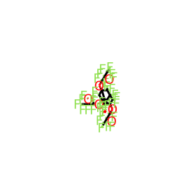 FOC(F)(C(F)(F)F)C(F)(F)OC12C(F)(F)C3(F)C(F)(F)C(OC(F)(F)C(F)(OF)C(F)(F)F)(C1(F)F)C(F)(F)C(OC(F)(F)C(F)(OF)C(F)(F)F)(C3(F)F)C2(F)F